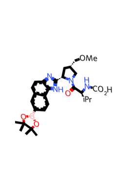 COC[C@H]1C[C@@H](c2nc3ccc4cc(B5OC(C)(C)C(C)(C)O5)ccc4c3[nH]2)N(C(=O)[C@@H](NC(=O)O)C(C)C)C1